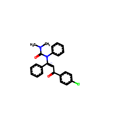 CN(C)C(=O)N(/C(=C/C(=O)c1ccc(Cl)cc1)c1ccccc1)c1ccccc1